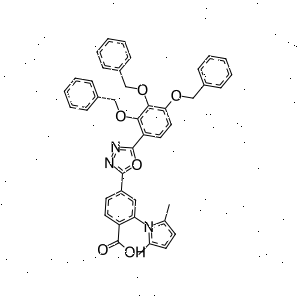 Cc1ccc(C)n1-c1cc(-c2nnc(-c3ccc(OCc4ccccc4)c(OCc4ccccc4)c3OCc3ccccc3)o2)ccc1C(=O)O